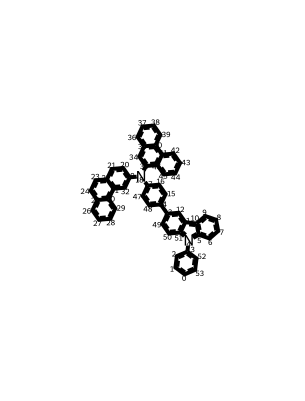 c1ccc(-n2c3ccccc3c3cc(-c4ccc(N(c5ccc6ccc7ccccc7c6c5)c5cc6ccccc6c6ccccc56)cc4)ccc32)cc1